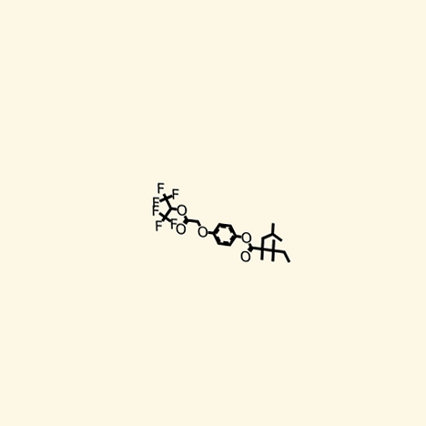 CCC(C)(C)C(C)(CC(C)C)C(=O)Oc1ccc(OCC(=O)OC(C(F)(F)F)C(F)(F)F)cc1